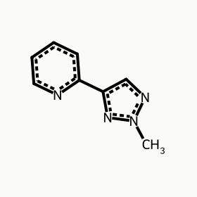 Cn1ncc(-c2ccccn2)n1